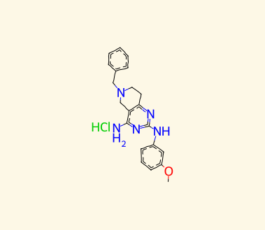 COc1cccc(Nc2nc(N)c3c(n2)CCN(Cc2ccccc2)C3)c1.Cl